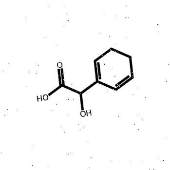 O=C(O)C(O)C1=CCCC=C1